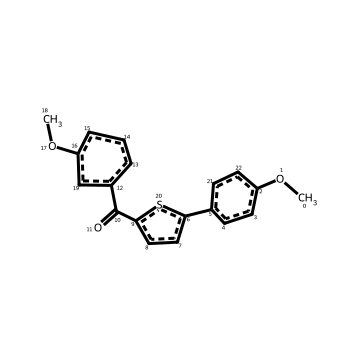 COc1ccc(-c2ccc(C(=O)c3cccc(OC)c3)s2)cc1